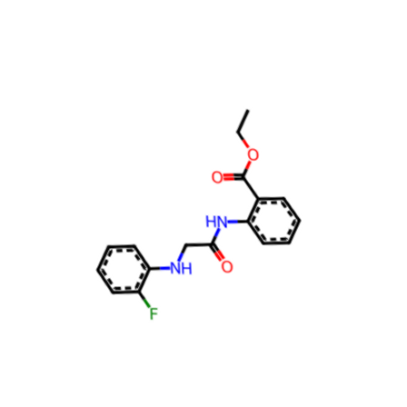 CCOC(=O)c1ccccc1NC(=O)CNc1ccccc1F